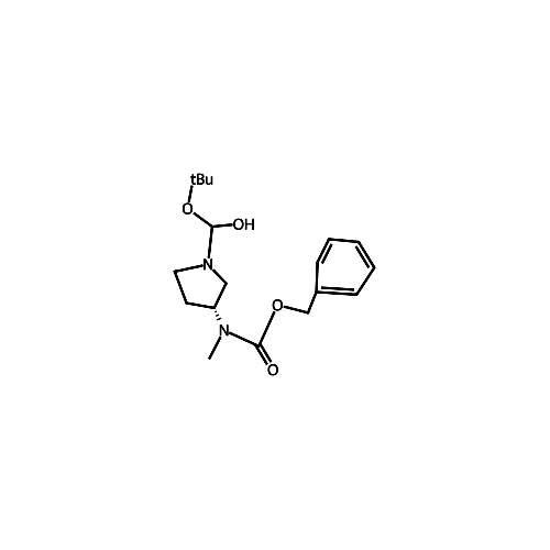 CN(C(=O)OCc1ccccc1)[C@@H]1CCN(C(O)OC(C)(C)C)C1